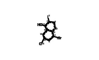 Oc1c(I)cnc2c(Br)cc(Cl)cc12